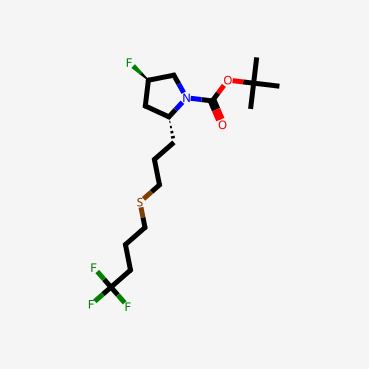 CC(C)(C)OC(=O)N1C[C@H](F)C[C@H]1CCCSCCCC(F)(F)F